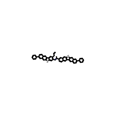 C=CCc1cc2c(cc1/C=C(\C)c1ccc3cc4c(cc3c1)sc1cc3cc(-c5ccccc5)ccc3cc14)sc1cc3cc(-c4ccccc4)ccc3cc12